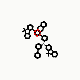 CC1(C)c2ccccc2-c2ccc(N(c3cccc(-c4ccccc4)c3)c3cccc(-c4ccc(-c5cccc6c5-c5ccccc5C6(C)C)c5c4C4c6ccccc6C5c5ccccc54)c3)cc21